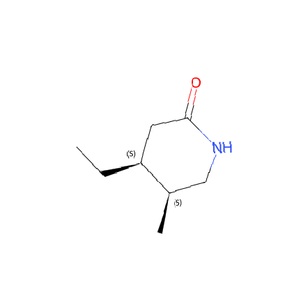 CC[C@H]1CC(=O)NC[C@H]1C